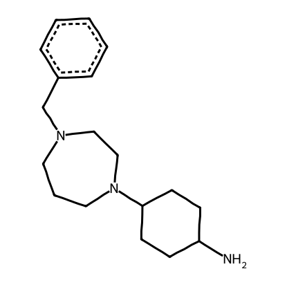 NC1CCC(N2CCCN(Cc3ccccc3)CC2)CC1